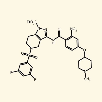 CCOC(=O)n1nc(NC(=O)c2ccc(OC3CCN(C)CC3)cc2[N+](=O)[O-])c2c1CCN(S(=O)(=O)c1cc(F)cc(F)c1)C2